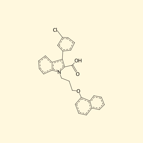 O=C(O)c1c(-c2cccc(Cl)c2)c2ccccc2n1CCCOc1cccc2ccccc12